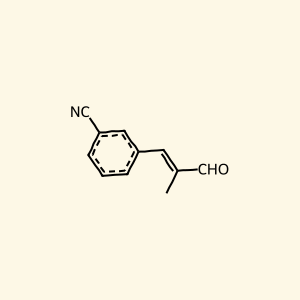 C/C(C=O)=C\c1cccc(C#N)c1